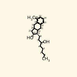 CCCCC[C@H](O)CC[C@@H]1C2Cc3cccc(C)c3CC2C[C@H]1O